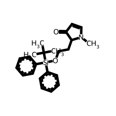 CN1C=CC(=O)C1CCO[Si](c1ccccc1)(c1ccccc1)C(C)(C)C